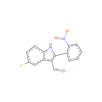 O=Cc1c(-c2ccccc2[N+](=O)[O-])[nH]c2ccc(F)cc12